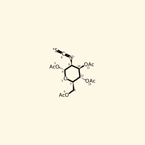 CC(=O)OC[C@H]1O[C@H](OC(C)=O)[C@@H](N=C=S)[C@@H](OC(C)=O)[C@@H]1OC(C)=O